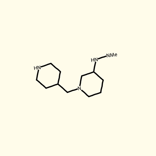 CNNC1CCCN(CC2CCNCC2)C1